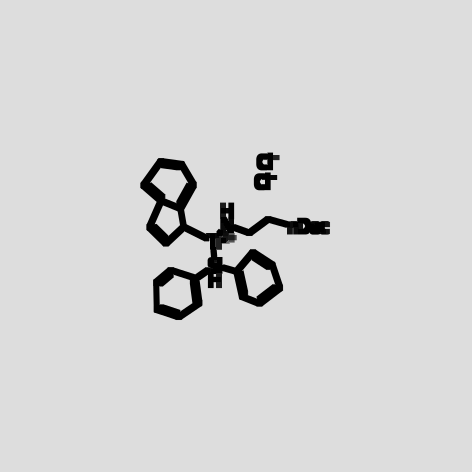 CCCCCCCCCCCC[NH][Ti+2]([CH]1C=Cc2ccccc21)[SiH](c1ccccc1)c1ccccc1.[Cl-].[Cl-]